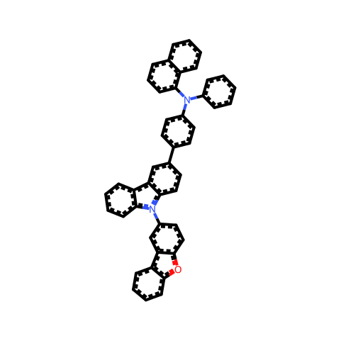 c1ccc(N(c2ccc(-c3ccc4c(c3)c3ccccc3n4-c3ccc4oc5ccccc5c4c3)cc2)c2cccc3ccccc23)cc1